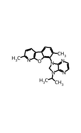 Cc1ccc2c(n1)oc1c(N3CN(C(C)C)c4nccnc43)c(C)ccc12